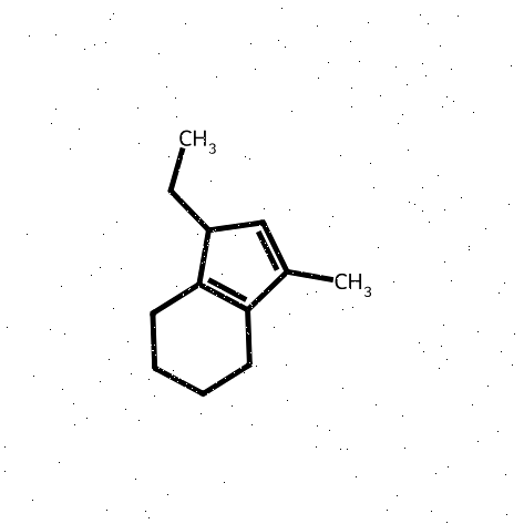 CCC1C=C(C)C2=C1CCCC2